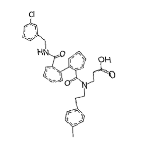 Cc1ccc(CCN(CCC(=O)O)C(=O)c2ccccc2-c2ccccc2C(=O)NCc2cccc(Cl)c2)cc1